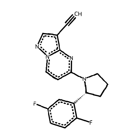 C#Cc1cnn2ccc(N3CCC[C@@H]3c3cc(F)ccc3F)nc12